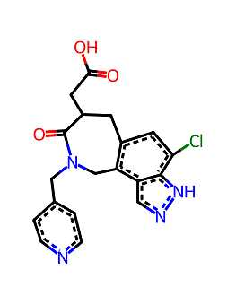 O=C(O)CC1Cc2cc(Cl)c3[nH]ncc3c2CN(Cc2ccncc2)C1=O